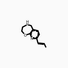 C/C=C/c1ccc2c(n1)OCCNC2